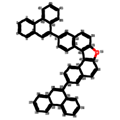 c1ccc2c(c1)cc(-c1ccc3c(ccc4oc5ccc6cc(-c7cc8ccccc8c8ccccc78)ccc6c5c43)c1)c1ccccc12